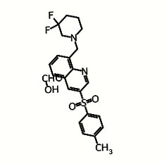 Cc1ccc(S(=O)(=O)c2cnc3c(CN4CCCC(F)(F)C4)cccc3c2)cc1.O=CO